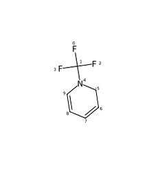 FC(F)(F)N1[CH]C=CC=C1